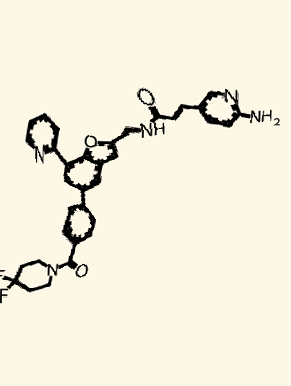 Nc1ccc(/C=C/C(=O)NCc2cc3cc(-c4ccc(C(=O)N5CCC(F)(F)CC5)cc4)cc(-c4ccccn4)c3o2)cn1